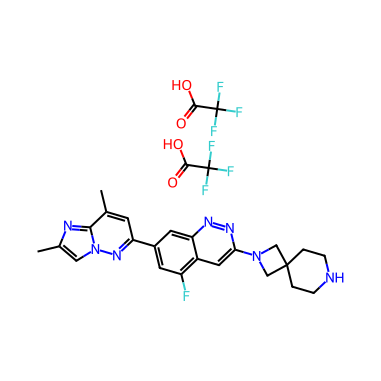 Cc1cn2nc(-c3cc(F)c4cc(N5CC6(CCNCC6)C5)nnc4c3)cc(C)c2n1.O=C(O)C(F)(F)F.O=C(O)C(F)(F)F